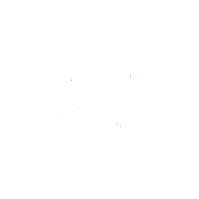 CC(C)(C)OC(=O)C1(C2CNC2)CC1N